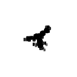 Cc1cc(C)c(-c2ccc(NC(=O)C(Cc3ccc(C(=O)NCCS(=O)(=O)O)cc3)c3ccc(-c4ccc5c(c4)OCO5)cc3)cc2)c(C)c1